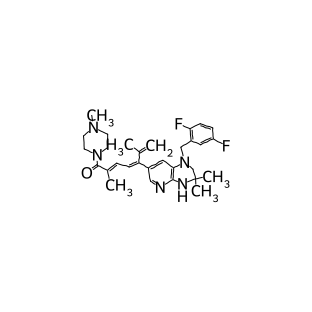 C=C(C)/C(=C\C=C(/C)C(=O)N1CCN(C)CC1)c1cnc2c(c1)N(Cc1cc(F)ccc1F)CC(C)(C)N2